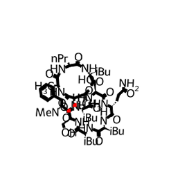 CCC[C@@H]1NC(=O)[C@H](C)NC(=O)[C@H](NC(=O)[C@H](CO)NC(=O)[C@@H](NC(=O)[C@H](NC(=O)[C@@H](CCC(N)=O)NC(=O)[C@H](CO)NC(=O)[C@@H](NC(=O)[C@@H](Cc2ccccc2)NC)[C@@H](C)CC)[C@H](C)CC)[C@@H](C)CC)[C@H](C)OC(=O)[C@H]([C@@H](C)CC)NC1=O